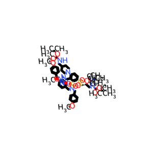 COc1ccc(CN(Cc2ccc(OC)cc2)S(=O)(=O)c2c(S(=O)(=O)C[C@@H](CNC(=O)OC(C)(C)C)O[Si](C)(C)C(C)(C)C)ccc(N3CCC(CNC(=O)OC(C)(C)C)CC3)c2-c2nnn(Cc3ccc(OC)cc3)n2)cc1